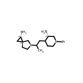 CC(C)N1CCC(CC(C)N2CC[C@]3(C[C@@H]3N)C2)[C@H](N)C1